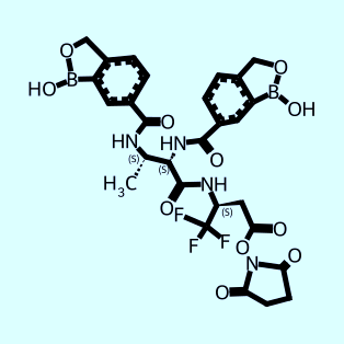 C[C@H](NC(=O)c1ccc2c(c1)B(O)OC2)[C@H](NC(=O)c1ccc2c(c1)B(O)OC2)C(=O)N[C@@H](CC(=O)ON1C(=O)CCC1=O)C(F)(F)F